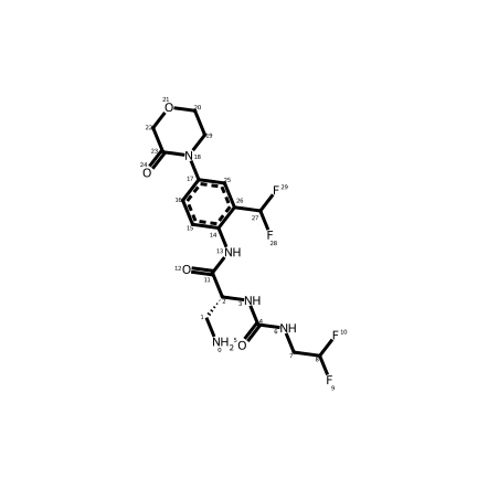 NC[C@@H](NC(=O)NCC(F)F)C(=O)Nc1ccc(N2CCOCC2=O)cc1C(F)F